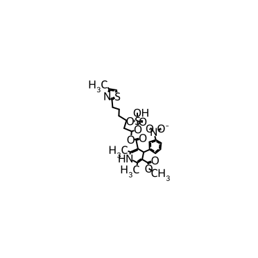 COC(=O)C1=C(C)NC(C)=C(C(=O)OC(CCCCCc2nc(C)cs2)OS(=O)(=O)O)C1c1cccc([N+](=O)[O-])c1